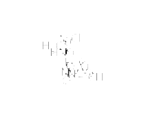 COc1ccc(-n2c(=O)n(C[C@H]3CC[C@H](NC(=O)c4cc(Cl)cnc4C)CC3)c3ccccc32)cc1OC